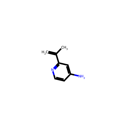 C=C(C)c1cc(N)ccn1